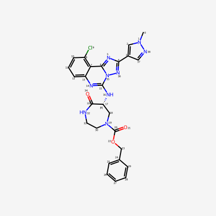 Cn1cc(-c2nc3c4c(Cl)cccc4nc(N[C@@H]4CN(C(=O)OCc5ccccc5)CCNC4=O)n3n2)cn1